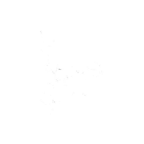 COCCCN1C(=O)COc2ccc(N(C(=O)[C@H]3CN(C(=O)OC(C)(C)C)CC[C@@H]3c3cccc(-c4ccc(C#N)c(F)c4)c3)C3CC3)cc21